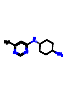 Cc1cc(N[C@H]2CC[C@H](N)CC2)ncn1